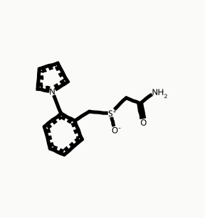 NC(=O)C[S+]([O-])Cc1ccccc1-n1cccc1